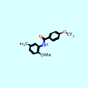 COc1ccc(C)cc1NC(=O)c1ccc(OC(F)(F)F)cc1